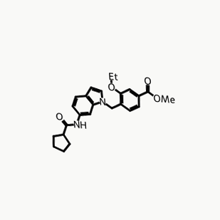 CCOc1cc(C(=O)OC)ccc1Cn1ccc2ccc(NC(=O)C3CCCC3)cc21